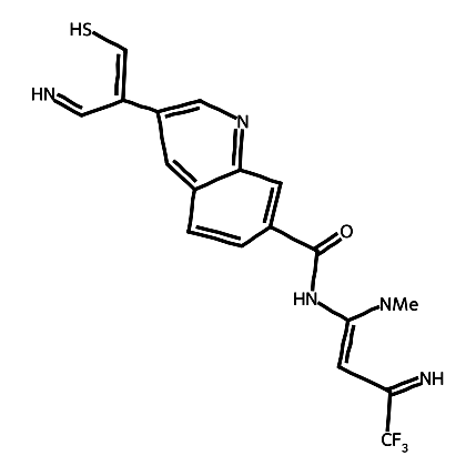 CN/C(=C\C(=N)C(F)(F)F)NC(=O)c1ccc2cc(/C(C=N)=C/S)cnc2c1